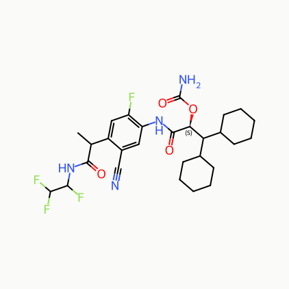 CC(C(=O)NC(F)C(F)F)c1cc(F)c(NC(=O)[C@@H](OC(N)=O)C(C2CCCCC2)C2CCCCC2)cc1C#N